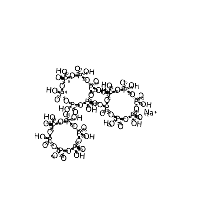 O=P1(O)OP(=O)(O)OP(=O)(O)OP(=O)(O)OP(=O)(O)OP(=O)(O)O1.O=P1(O)OP(=O)(O)OP(=O)(O)OP(=O)(O)OP(=O)(O)OP(=O)(O)O1.O=P1([O-])OP(=O)(O)OP(=O)(O)OP(=O)(O)OP(=O)(O)OP(=O)(O)O1.[Na+]